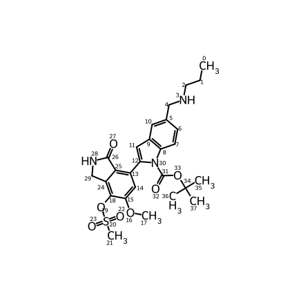 CCCNCc1ccc2c(c1)cc(-c1cc(OC)c(OS(C)(=O)=O)c3c1C(=O)NC3)n2C(=O)OC(C)(C)C